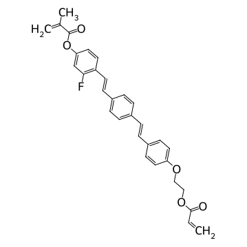 C=CC(=O)OCCOc1ccc(/C=C/c2ccc(/C=C/c3ccc(OC(=O)C(=C)C)cc3F)cc2)cc1